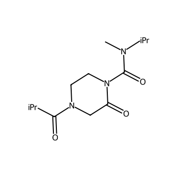 CC(C)C(=O)N1CCN(C(=O)N(C)C(C)C)C(=O)C1